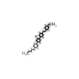 CCCCC[C@H]1CC[C@H](c2ccc(-c3ccc(/C=C/c4ccc(CC)cc4)cc3)c(F)c2)CC1